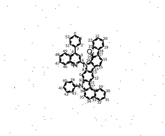 c1ccc(-c2cc(-n3c4cc5c(cc4c4ccc6c7ccccc7oc6c43)c3c4ccccc4ccc3n5-c3ccccc3)nc3ccccc23)cc1